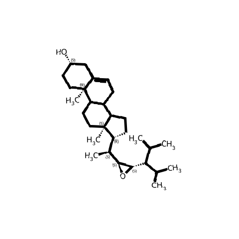 CC(C)C(C(C)C)[C@@H]1O[C@H]1[C@@H](C)[C@H]1CCC2C3CC=C4C[C@@H](O)CC[C@]4(C)C3CC[C@@]21C